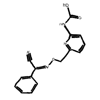 N#CC(=NOCc1cccc(NC(=O)O)n1)c1ccccc1